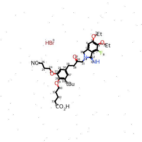 Br.CCOc1cc2c(c(F)c1OCC)C(=N)N(CC(=O)CCc1cc(OCCCC#N)c(OCCCCC(=O)O)c(C(C)(C)C)c1)C2